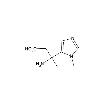 Cn1cncc1C(C)(N)CC(=O)O